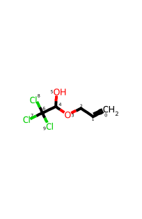 C=CCOC(O)C(Cl)(Cl)Cl